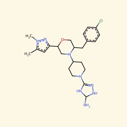 Cc1cc(C2CN(C3CCN(C4=NNC(N)N4)CC3)C(Cc3ccc(Cl)cc3)CO2)nn1C